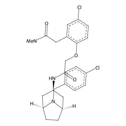 CNC(=O)Cc1cc(Cl)ccc1OCC(=O)N[C@H]1C[C@H]2CC[C@@H](C1)N2Cc1ccc(Cl)cc1